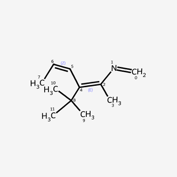 C=N/C(C)=C(\C=C/C)C(C)(C)C